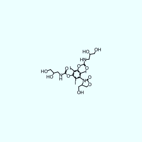 O=C(NCC(O)CO)Oc1c(I)c(OC(=O)NCC(O)CO)c(I)c(N2C(=O)OCC2CO)c1I